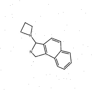 c1ccc2c3c(ccc2c1)C(N1CCC1)[N]C3